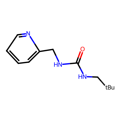 CC(C)(C)CNC(=O)NCc1ccccn1